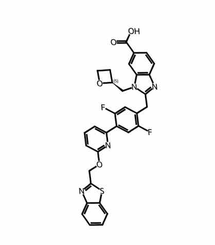 O=C(O)c1ccc2nc(Cc3cc(F)c(-c4cccc(OCc5nc6ccccc6s5)n4)cc3F)n(C[C@@H]3CCO3)c2c1